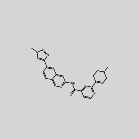 Cn1cc(-c2ccc3cnc(NC(=O)c4ccnc(C5=CCN(I)CC5)c4)cc3c2)nn1